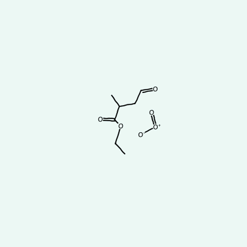 CCOC(=O)C(C)CC=O.O=[O+][O-]